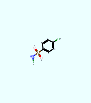 O=S(=O)(NF)c1ccc(Cl)cc1